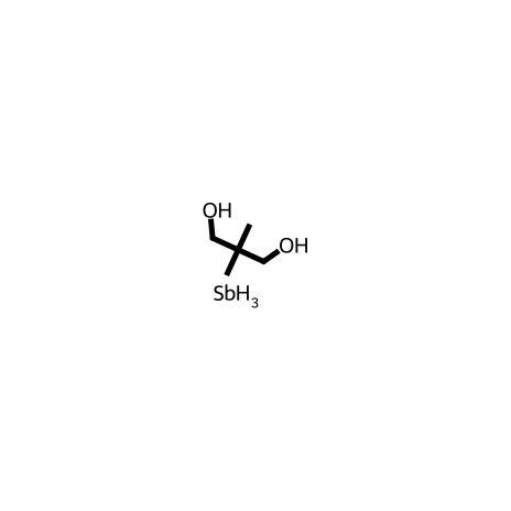 CC(C)(CO)CO.[SbH3]